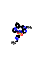 CCn1cc(S(=O)(=O)Nc2ccnc3c2c(-c2cccc(N4CCCC4)c2)cn3C)cn1